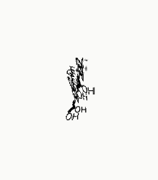 CCOCC.[N-]=[N+]=NCC(O)CO.[N-]=[N+]=NCC(O)CO